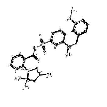 COc1cccc(CN(C)c2cccc(S(=O)(=O)NC(=O)c3cccnc3N3CC(C)CC3(C)C)n2)c1